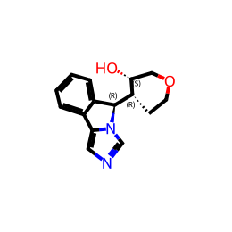 O[C@@H]1COCC[C@@H]1[C@@H]1c2ccccc2-c2cncn21